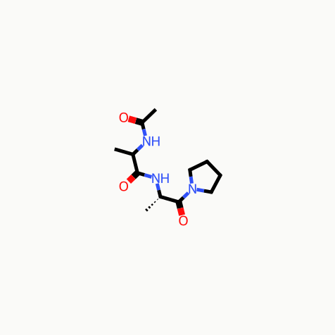 CC(=O)NC(C)C(=O)N[C@@H](C)C(=O)N1CCCC1